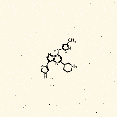 Cc1cc(Nc2cc(C3CCCNC3)nc3c(C4=CNCS4)cnn23)sn1